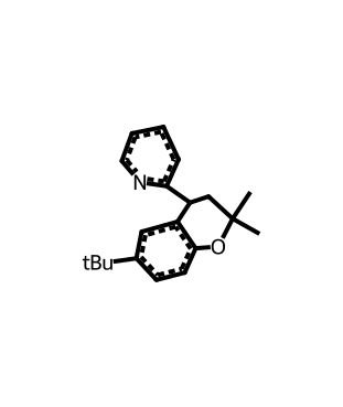 CC1(C)CC(c2ccccn2)c2cc(C(C)(C)C)ccc2O1